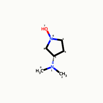 CN(C)[C@H]1CCN(O)C1